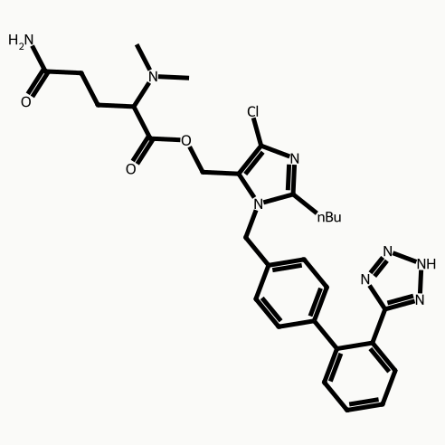 CCCCc1nc(Cl)c(COC(=O)C(CCC(N)=O)N(C)C)n1Cc1ccc(-c2ccccc2-c2nn[nH]n2)cc1